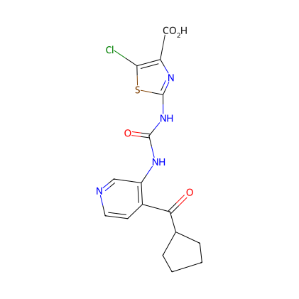 O=C(Nc1nc(C(=O)O)c(Cl)s1)Nc1cnccc1C(=O)C1CCCC1